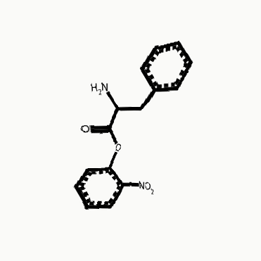 NC(Cc1ccccc1)C(=O)Oc1ccccc1[N+](=O)[O-]